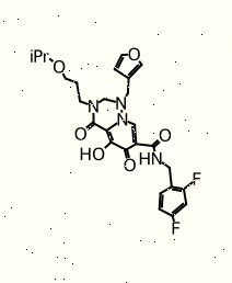 CC(C)OCCCN1CN(Cc2ccoc2)n2cc(C(=O)NCc3ccc(F)cc3F)c(=O)c(O)c2C1=O